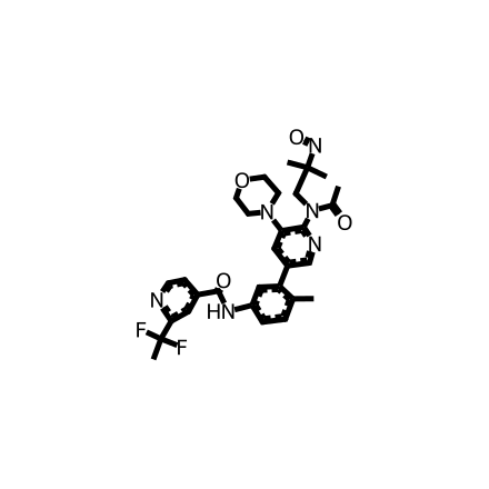 CC(=O)N(CC(C)(C)N=O)c1ncc(-c2cc(NC(=O)c3ccnc(C(C)(F)F)c3)ccc2C)cc1N1CCOCC1